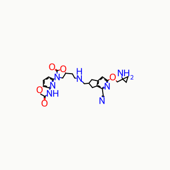 N#Cc1nc(OCC2(N)CC2)cc2c1CC(CNCCC1CN(c3ccc4c(n3)NC(=O)CO4)C(=O)O1)C2